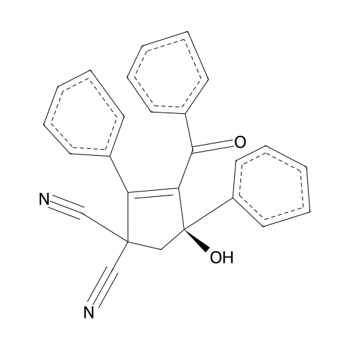 N#CC1(C#N)C[C@@](O)(c2ccccc2)C(C(=O)c2ccccc2)=C1c1ccccc1